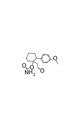 COc1ccc(C2CCCCC2(CC=O)OC(N)=O)cc1